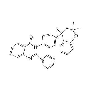 CC1(C)CC(C)(c2ccc(-n3c(-c4ccccc4)nc4ccccc4c3=O)cc2)c2ccccc2O1